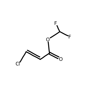 O=C(C=CCl)OC(F)F